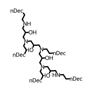 CCCCCCCCCCCCNCC(O)CN(CCCCCCCCCCCC)CC(O)CN(CCCCCCCCCCCC)CC(O)CN(CCCCCCCCCCCC)CC(O)CNCCCCCCCCCCCC